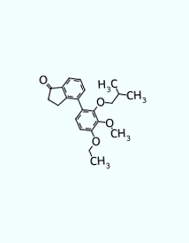 CCOc1ccc(-c2cccc3c2CCC3=O)c(OCC(C)C)c1OC